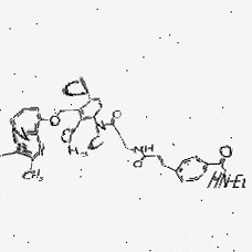 CCNC(=O)c1ccc(/C=C/C(=O)NCC(=O)N(C)c2ccc(Cl)c(COc3cccn4c(Cl)c(C)nc34)c2Cl)cc1